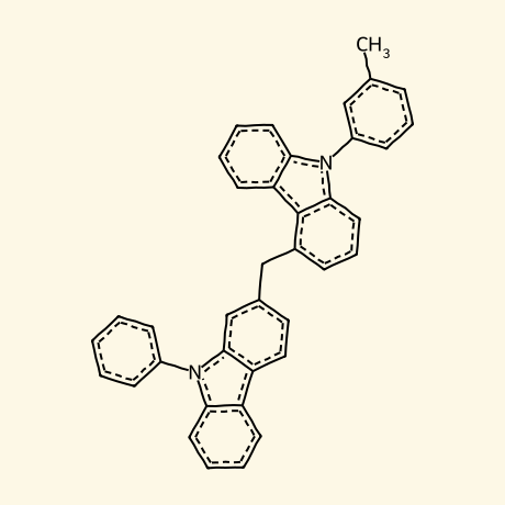 Cc1cccc(-n2c3ccccc3c3c(Cc4ccc5c6ccccc6n(-c6ccccc6)c5c4)cccc32)c1